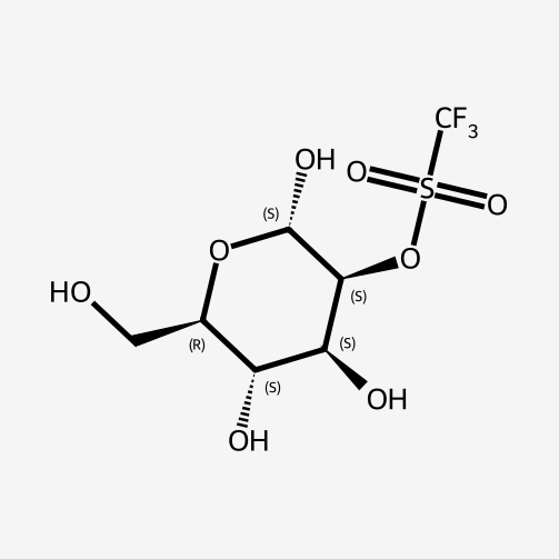 O=S(=O)(O[C@H]1[C@@H](O)[C@H](O)[C@@H](CO)O[C@@H]1O)C(F)(F)F